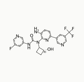 Nc1ccc(-c2cncc(C(F)(F)F)c2)nc1N(C(=O)Nc1cncc(F)c1)C1CC[C@H]1O